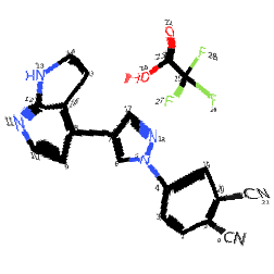 N#Cc1ccc(-n2cc(-c3ccnc4[nH]ccc34)cn2)cc1C#N.O=C(O)C(F)(F)F